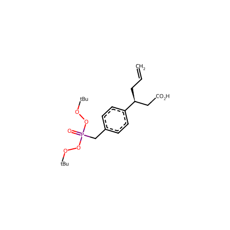 C=CC[C@@H](CC(=O)O)c1ccc(CP(=O)(OOC(C)(C)C)OOC(C)(C)C)cc1